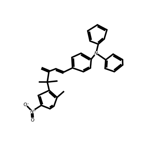 C=C(/C=C/c1ccc(N(c2ccccc2)c2ccccc2)cc1)C(C)(C)c1cc([N+](=O)[O-])ccc1C